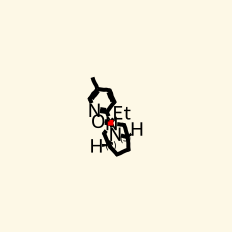 CCC(=O)N1[C@@H]2CC[C@H]1CN(c1ccc(C)cn1)C2